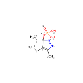 CCC1=C(C)N=NC1(CC)OP(=O)(O)O